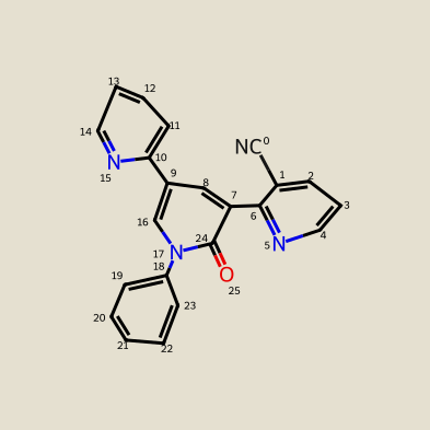 N#Cc1cccnc1-c1cc(-c2ccccn2)cn(-c2ccccc2)c1=O